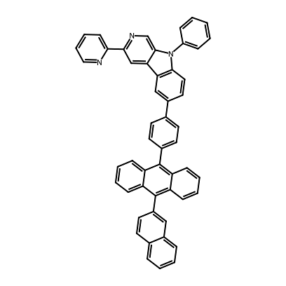 c1ccc(-n2c3ccc(-c4ccc(-c5c6ccccc6c(-c6ccc7ccccc7c6)c6ccccc56)cc4)cc3c3cc(-c4ccccn4)ncc32)cc1